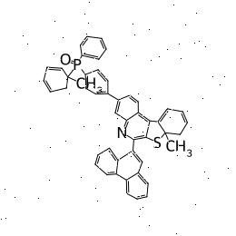 CC12CC=CC=C1c1c(c(-c3cc4ccccc4c4ccccc34)nc3cc(-c4ccc(P(=O)(c5ccccc5)C5(C)C=CC=CC5)cc4)ccc13)S2